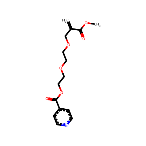 C=C(COCCOCCOC(=O)c1ccncc1)C(=O)OC